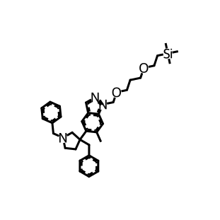 Cc1cc2c(cnn2COCCCOCC[Si](C)(C)C)cc1C1(Cc2ccccc2)CCN(Cc2ccccc2)C1